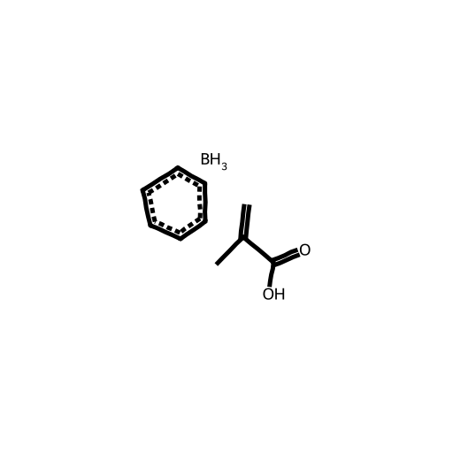 B.C=C(C)C(=O)O.c1ccccc1